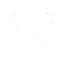 COC(=O)C(c1ccc(Cl)cc1)c1ccc([N+](=O)[O-])c(C(F)(F)F)c1